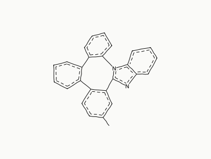 Cc1ccc2c(c1)-c1nc3ccccc3n1-c1ccccc1-c1ccccc1-2